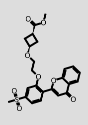 COC(=O)[C@H]1C[C@@H](OCCOc2cc(S(C)(=O)=O)ccc2-c2cc(=O)c3ccccc3o2)C1